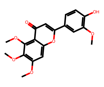 COc1cc(-c2cc(=O)c3c(OC)c(OC)c(OC)cc3o2)ccc1O